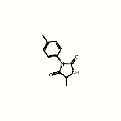 Cc1ccc(N2C(=O)NC(C)C2=O)cc1